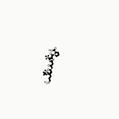 C/C(=C\[C@H](CC(=O)Cc1nc(C(=O)N2CCC[C@@H]2C(=O)O)c([Si](C)(C)C)s1)O[Si](C)(C)C(C)(C)C)CCCN